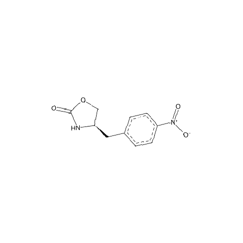 O=C1N[C@H](Cc2ccc([N+](=O)[O-])cc2)CO1